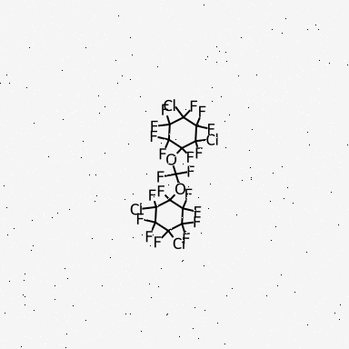 FC(F)(OC1(F)C(F)(F)C(F)(F)C(F)(Cl)C(F)(F)C1(F)Cl)OC1(F)C(F)(F)C(F)(F)C(F)(Cl)C(F)(F)C1(F)Cl